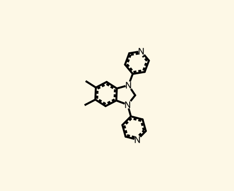 Cc1cc2c(cc1C)N(c1ccncc1)CN2c1ccncc1